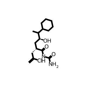 C=C(Cl)C[C@H](C[C@H](O)[C](C)C1CCCCC1)C(=O)NC(N)=O